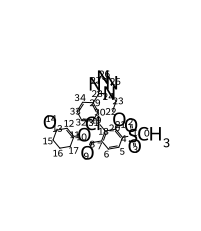 CS(=O)(=O)c1ccc(C(=O)OC2=CC(=O)CCC2)c(Cl)c1OCCn1nnnc1-c1ccccc1